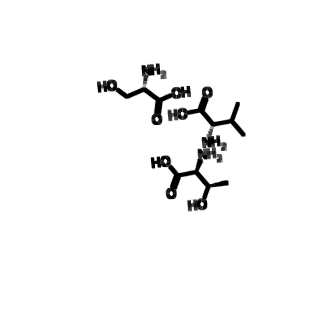 CC(C)[C@H](N)C(=O)O.C[C@@H](O)[C@H](N)C(=O)O.N[C@@H](CO)C(=O)O